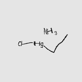 C[CH2][Hg][Cl].N